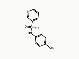 Cc1ccc(NS(=O)(=O)c2cccnc2)cc1